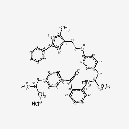 Cc1oc(-c2ccccc2)nc1CCOc1ccc(CC(Nc2ccccc2C(=O)c2ccc(CN(C)C)cc2)C(=O)O)cc1.Cl